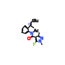 CC(=O)N(C(=O)c1c(C)nn(C)c1F)c1ccccc1/C(C)=C/C(C)(C)C